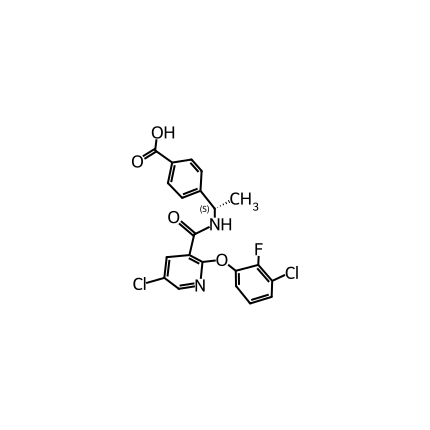 C[C@H](NC(=O)c1cc(Cl)cnc1Oc1cccc(Cl)c1F)c1ccc(C(=O)O)cc1